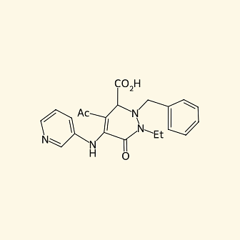 CCN1C(=O)C(Nc2cccnc2)=C(C(C)=O)C(C(=O)O)N1Cc1ccccc1